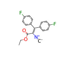 [C-]#[N+]C(C(=O)OCC)=C(c1ccc(F)cc1)c1ccc(F)cc1